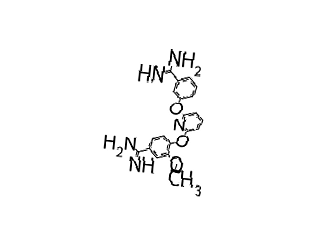 COc1cc(C(=N)N)ccc1Oc1cccc(Oc2cccc(C(=N)N)c2)n1